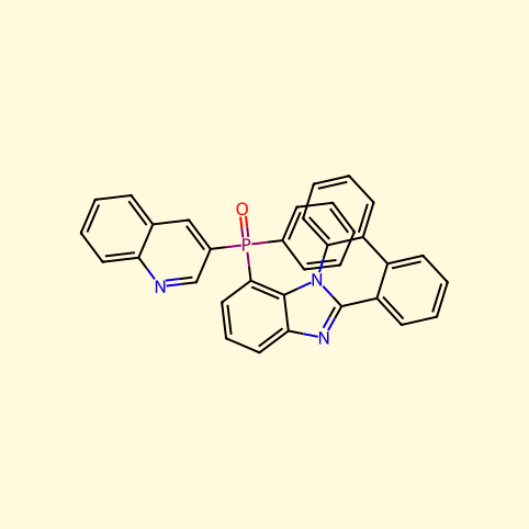 O=P(c1ccccc1)(c1cnc2ccccc2c1)c1cccc2nc3c4ccccc4c4ccccc4n3c12